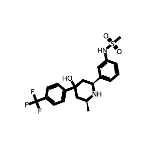 C[C@H]1CC(O)(c2ccc(C(F)(F)F)cc2)C[C@@H](c2cccc(NS(C)(=O)=O)c2)N1